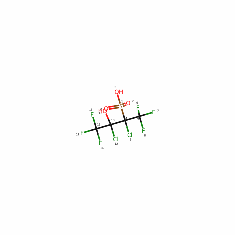 O=S(=O)(O)C(Cl)(C(F)(F)F)C(O)(Cl)C(F)(F)F